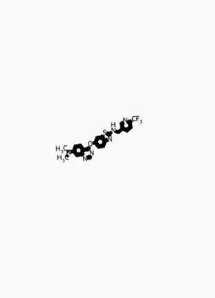 CN(C)c1ccc2c(Oc3ccc4nc(NCc5ccc(C(F)(F)F)nc5)sc4c3)ncnc2c1